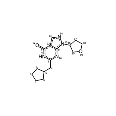 O=c1[nH]c(CC2CCCC2)nc2c1cnn2C1CCOC1